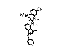 COc1ccc(C(F)(F)F)cc1NC(=O)Nc1cccc2c1c(C)cn2Cc1ccncc1